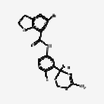 CC1(c2cc(NC(=O)c3cc(Br)cc4c3OCC4)ccc2F)CCSC(N)=N1